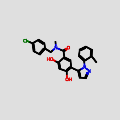 Cc1ccccc1-n1nccc1-c1cc(C(=O)N(C)Cc2ccc(Cl)cc2)c(O)cc1O